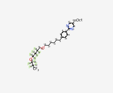 CCCCCCCCc1cnc(-c2ccc(CCCCCCOCC(F)(F)C(F)(F)C(F)(F)OC(F)(F)C(F)(F)C(F)(F)F)cc2)nc1